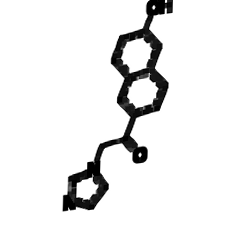 O=C(Cn1ccnc1)c1ccc2cc(O)ccc2c1